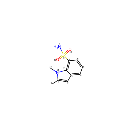 Cc1cc2cccc(S(N)(=O)=O)c2n1C